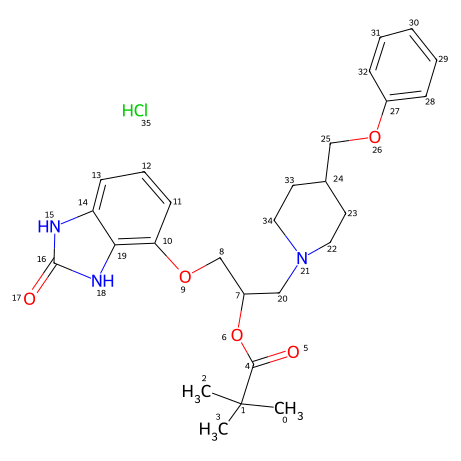 CC(C)(C)C(=O)OC(COc1cccc2[nH]c(=O)[nH]c12)CN1CCC(COc2ccccc2)CC1.Cl